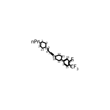 CCC[C@H]1CC[C@H](/C=C/C#C[C@H]2CC[C@H](c3ccc(C(F)(F)F)c(F)c3)CC2)CC1